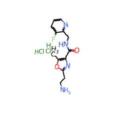 Cc1oc(CCN)nc1C(=O)NCc1ncccc1F.Cl.Cl